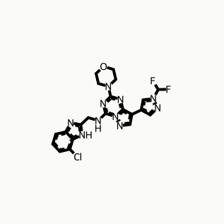 FC(F)n1cc(-c2cnn3c(NCc4nc5cccc(Cl)c5[nH]4)nc(N4CCOCC4)nc23)cn1